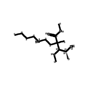 CCCCNCCC(C)(C(=O)OC)C(SC)[C@@H](C)O